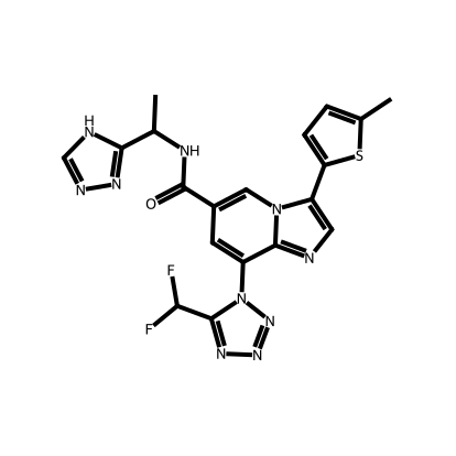 Cc1ccc(-c2cnc3c(-n4nnnc4C(F)F)cc(C(=O)NC(C)c4nnc[nH]4)cn23)s1